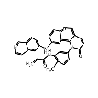 C=CC(=O)Nc1cc(-n2c(=O)ccc3cnc4ccc(Nc5ccc6cnccc6c5)cc4c32)ccc1C